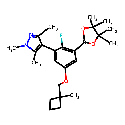 Cc1nn(C)c(C)c1-c1cc(OCC2(C)CCC2)cc(B2OC(C)(C)C(C)(C)O2)c1F